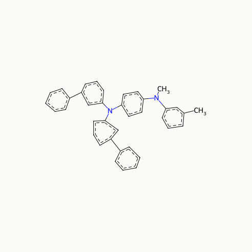 Cc1cccc(N(C)c2ccc(N(c3cccc(-c4ccccc4)c3)c3cccc(-c4ccccc4)c3)cc2)c1